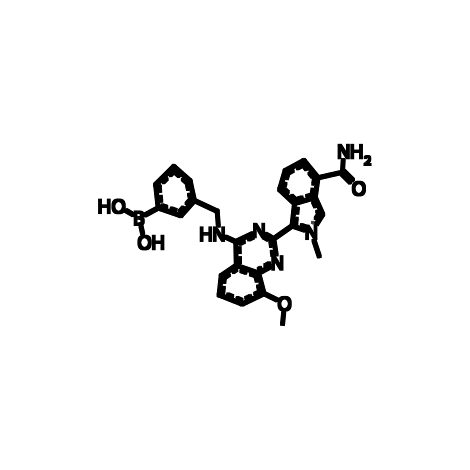 COc1cccc2c(NCc3cccc(B(O)O)c3)nc(-c3c4cccc(C(N)=O)c4cn3C)nc12